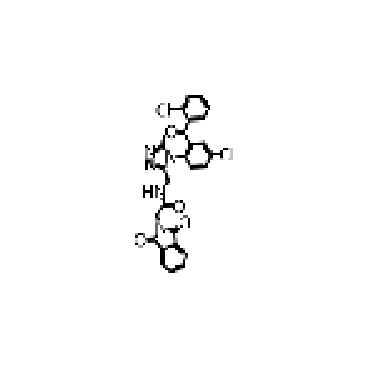 Cc1nnc(CNC(=O)CN2C(=O)c3ccccc3C2=O)n1-c1ccc(Cl)cc1C(=O)c1ccccc1Cl